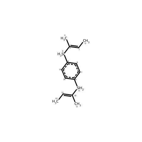 CC=C(C)[SiH2]c1ccc([SiH2]C(C)=CC)cc1